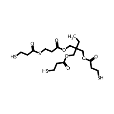 CCC(COC(=O)CCS)(COC(=O)CCS)COC(=O)CCSC(=O)CCS